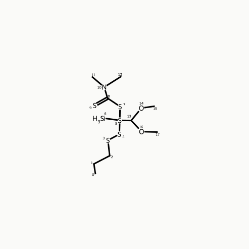 CCCSSS([SiH3])(SC(=S)N(C)C)C(OC)OC